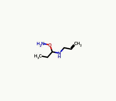 C=CCNC(CC)ON